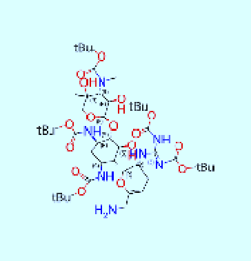 CN(C(=O)OC(C)(C)C)[C@@H]1[C@@H](O)[C@@H](O[C@H]2[C@H](NC(=O)OC(C)(C)C)C[C@H](NC(=O)OC(C)(C)C)C([C@H]3OC(CN)=CC[C@H]3N/C(=N/C(=O)OC(C)(C)C)NC(=O)OC(C)(C)C)[C@@H]2O)OC[C@]1(C)O